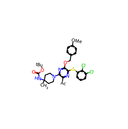 COc1ccc(COc2nc(N3CCC(C)(NC(=O)OC(C)(C)C)CC3)c(C(C)=O)nc2Sc2cccc(Cl)c2Cl)cc1